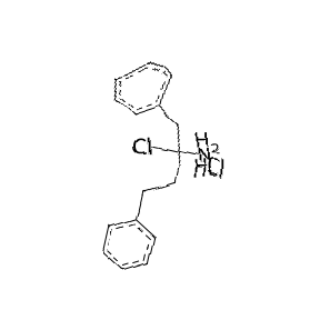 Cl.NC(Cl)(CCc1ccccc1)Cc1ccccc1